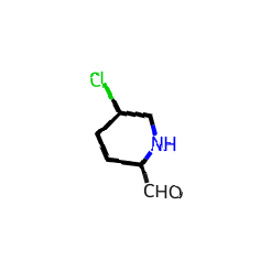 O=CC1CCC(Cl)CN1